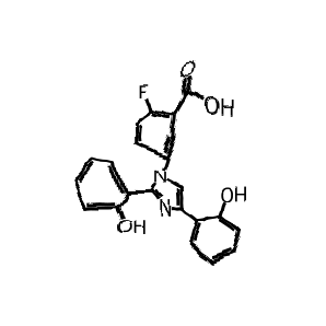 O=C(O)c1cc(-n2cc(-c3ccccc3O)nc2-c2ccccc2O)ccc1F